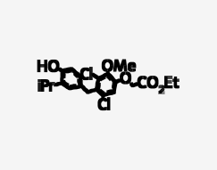 CCOC(=O)COc1cc(Cl)c(Cc2ccc(O)c(C(C)C)c2)c(Cl)c1OC